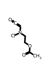 CC(=O)OCCN(Cl)C=C=O